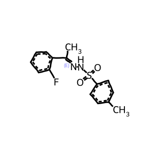 C/C(=N\NS(=O)(=O)c1ccc(C)cc1)c1ccccc1F